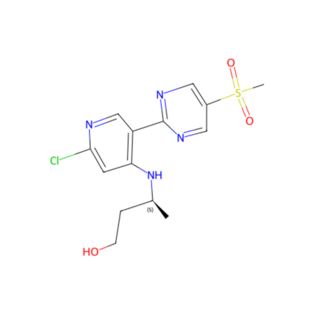 C[C@@H](CCO)Nc1cc(Cl)ncc1-c1ncc(S(C)(=O)=O)cn1